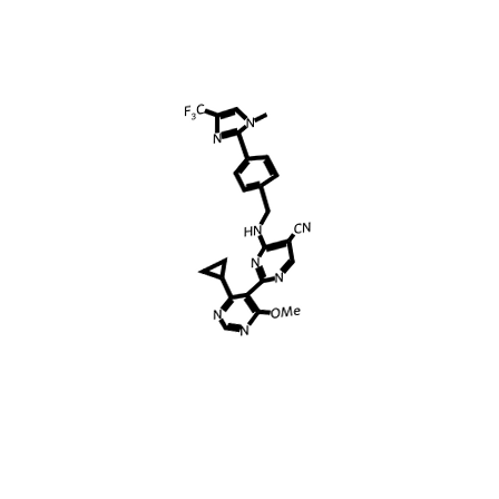 COc1ncnc(C2CC2)c1-c1ncc(C#N)c(NCc2ccc(-c3nc(C(F)(F)F)cn3C)cc2)n1